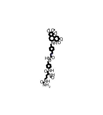 COc1cc2c(c(OC)c1OC)-c1ccc(OC)c(=O)cc1C(NCc1ccc(/C=C/C(=O)NOCc3ccc(NC(=O)C(CCCNC(N)=O)NC=O)cc3)cc1)CC2